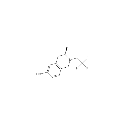 C[C@@H]1Cc2cc(O)ccc2CN1CC(F)(F)F